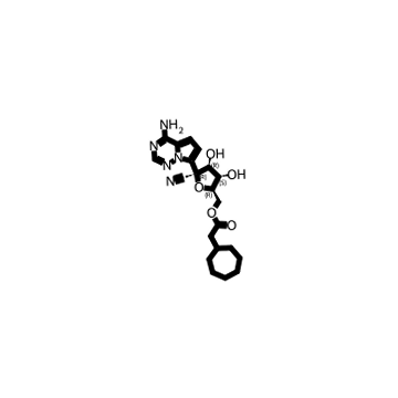 N#C[C@@]1(c2ccc3c(N)ncnn23)O[C@H](COC(=O)CC2CCCCCC2)[C@@H](O)[C@H]1O